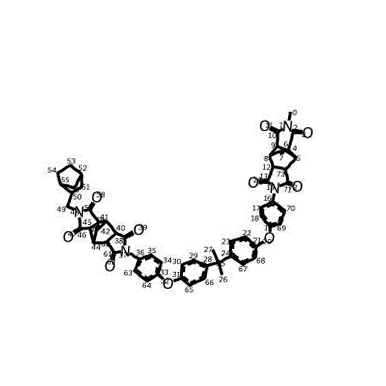 CN1C(=O)C2C3C=CC(C2C1=O)C1C(=O)N(c2ccc(Oc4ccc(C(C)(C)c5ccc(Oc6ccc(N7C(=O)C8C9C=CC(C%10C(=O)N(CC%11CC%12CCC%11C%12)C(=O)C9%10)C8C7=O)cc6)cc5)cc4)cc2)C(=O)C31